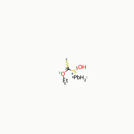 CCOC(=S)SO.[PbH2]